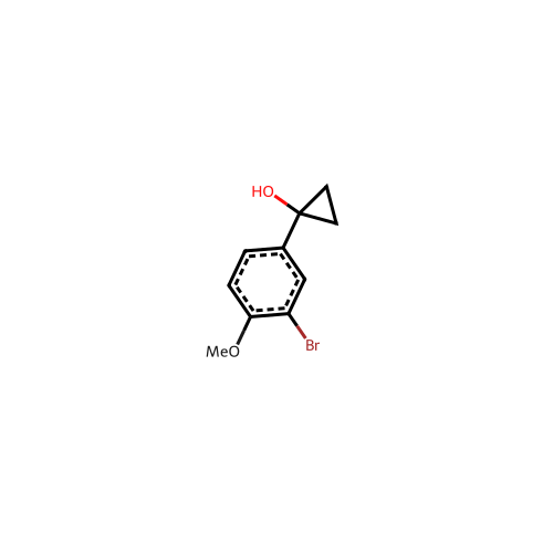 COc1ccc(C2(O)CC2)cc1Br